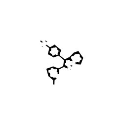 Cc1cccc(-c2nn3ccccc3c2-c2ccc(S(C)(=O)=O)cc2)n1